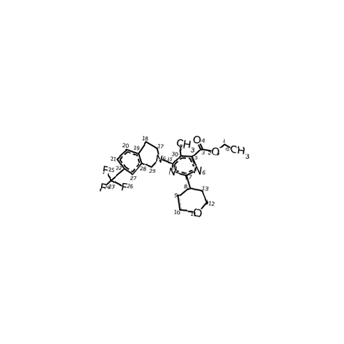 CCOC(=O)c1nc(C2CCOCC2)nc(N2CCc3ccc(C(F)(F)F)cc3C2)c1C